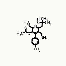 CCc1nc(CC(C)(C)C)c(CN)c(-c2ccc(C)cc2)c1OC(C)=O